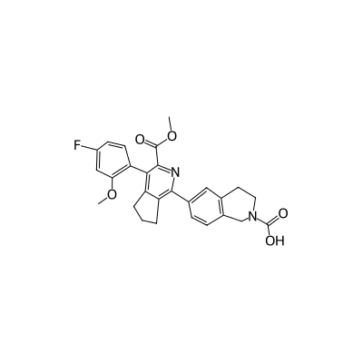 COC(=O)c1nc(-c2ccc3c(c2)CCN(C(=O)O)C3)c2c(c1-c1ccc(F)cc1OC)CCC2